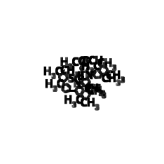 Cc1cc2c3c(c1)N1c4cc5c(cc4-c4ccc(cc4)C4(C)CCC(C)(C)c6c4sc1c6B3c1cc3c(cc1N2c1ccc2c(c1)C(C)(C)CCC2(C)C)C1(C)CCC3(C)CC1)C(C)(C)CCC5(C)C